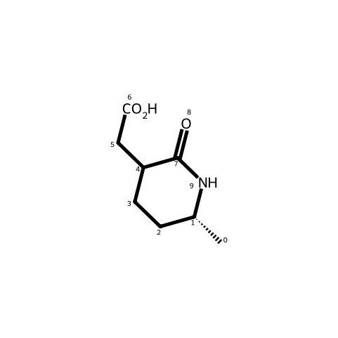 C[C@@H]1CCC(CC(=O)O)C(=O)N1